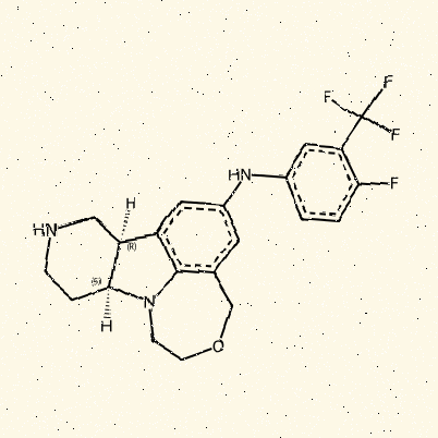 Fc1ccc(Nc2cc3c4c(c2)[C@@H]2CNCC[C@@H]2N4CCOC3)cc1C(F)(F)F